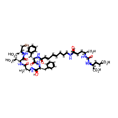 C[C@@H](CNC(=O)[C@H](Cc1ccccc1)NC(=O)[C@H](Cc1ccccc1)NC(=O)CCCCCCCNC(=O)CC[C@H](NC(=O)N[C@@H](CCC(=O)O)C(=O)O)C(=O)O)C(=O)N[C@@H](CC(=O)O)C(=O)N[C@@H](CS)C(=O)O